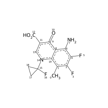 Cc1c(F)c(F)c(N)c2c(=O)c(C(=O)O)cn(C3(F)CC3)c12